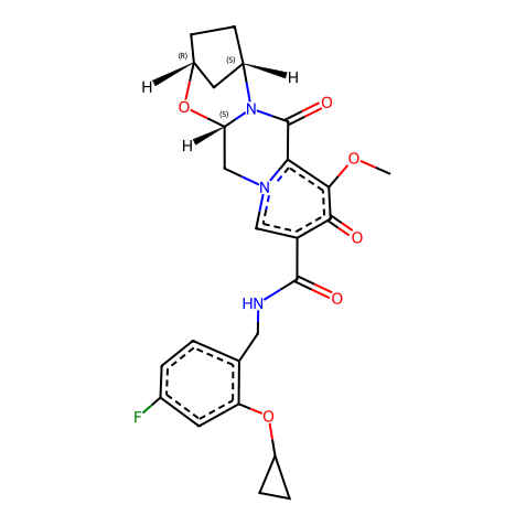 COc1c2n(cc(C(=O)NCc3ccc(F)cc3OC3CC3)c1=O)C[C@@H]1O[C@@H]3CC[C@@H](C3)N1C2=O